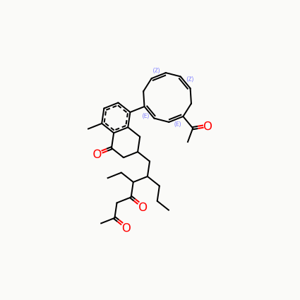 CCCC(CC1CC(=O)c2c(C)ccc(/C3=C/C=C(/C(C)=O)C/C=C\C=C/C3)c2C1)C(CC)C(=O)CC(C)=O